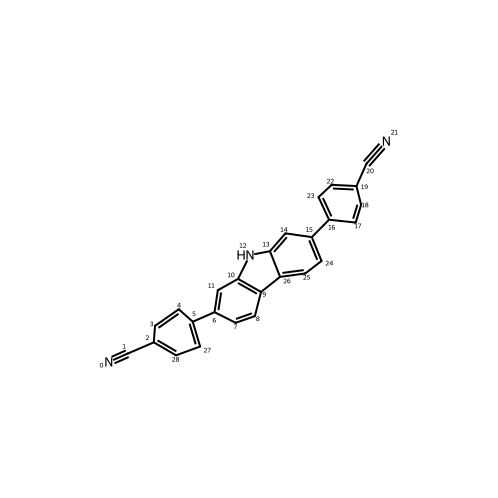 N#Cc1ccc(-c2ccc3c(c2)[nH]c2cc(-c4ccc(C#N)cc4)ccc23)cc1